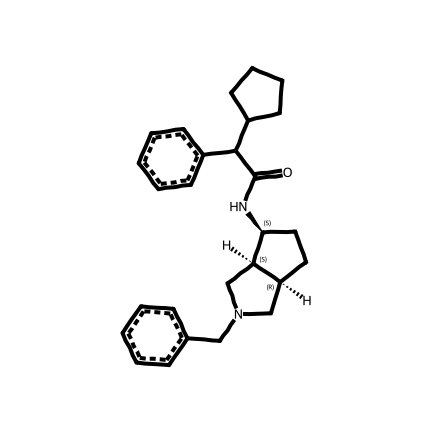 O=C(N[C@H]1CC[C@H]2CN(Cc3ccccc3)C[C@H]21)C(c1ccccc1)C1CCCC1